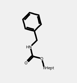 CCCCCCCOC(=O)NCc1ccccc1